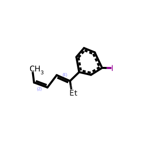 C/C=C\C=C(/CC)c1cccc(I)c1